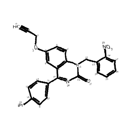 C#CCOc1ccc2c(c1)c(-c1ccc(C(C)C)cc1)nc(=O)n2Cc1ccccc1[N+](=O)[O-]